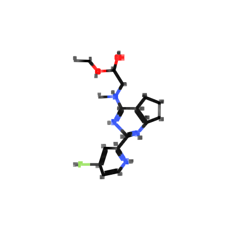 CCOC(O)CN(C)c1nc(-c2cc(F)ccn2)nc2c1CCC2